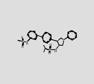 CC(C)S(=O)(=O)NC1CN(c2ccccc2)CC1c1ccc(-c2cccc(NS(C)(=O)=O)c2)cc1